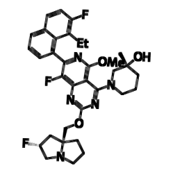 CCc1c(F)ccc2cccc(-c3nc(OC)c4c(N5CCC[C@@](C)(O)C5)nc(OC[C@@]56CCCN5C[C@H](F)C6)nc4c3F)c12